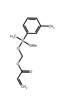 C=CC(=O)OCO[Si](C)(OC)c1cccc(C)c1